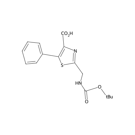 CC(C)(C)OC(=O)NCc1nc(C(=O)O)c(-c2ccccc2)s1